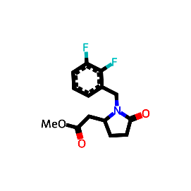 COC(=O)CC1CCC(=O)N1Cc1cccc(F)c1F